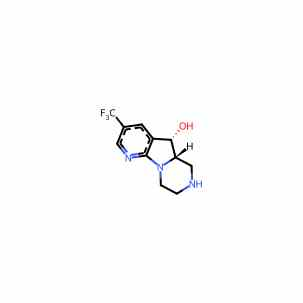 O[C@H]1c2cc(C(F)(F)F)cnc2N2CCNC[C@@H]12